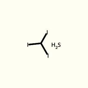 IC(I)I.S